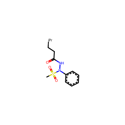 CC(C)CCC(=O)NN(c1ccccc1)S(C)(=O)=O